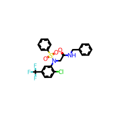 O=C(CN(c1cc(C(F)(F)F)ccc1Cl)S(=O)(=O)c1ccccc1)NCc1ccccc1